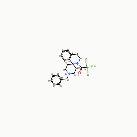 O=C(N1CCc2ccccc2C12CCN(Cc1ccccc1)CC2)C(F)(F)F